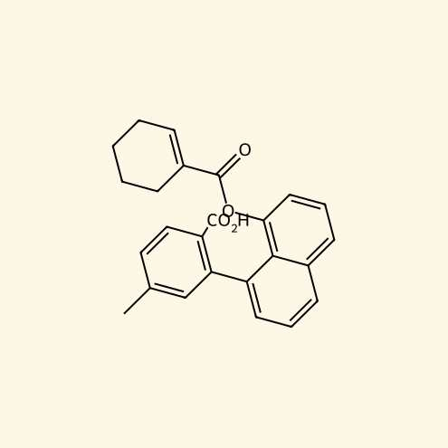 Cc1ccc(C(=O)O)c(-c2cccc3cccc(OC(=O)C4=CCCCC4)c23)c1